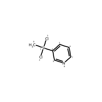 C[Si](Cl)(Cl)c1cccnc1